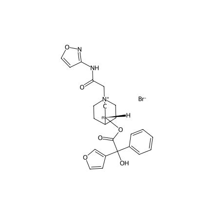 O=C(C[N+]12CCC(CC1)[C@@H](OC(=O)C(O)(c1ccccc1)c1ccoc1)C2)Nc1ccon1.[Br-]